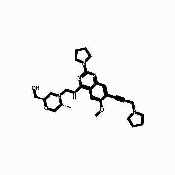 COc1cc2c(NCN3C[C@H](CO)OC[C@H]3C)nc(N3CCCC3)nc2cc1C#CCN1CCCC1